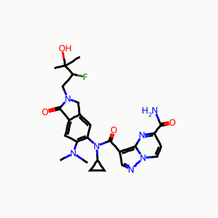 CN(C)c1cc2c(cc1N(C(=O)c1cnn3ccc(C(N)=O)nc13)C1CC1)CN(CC(F)C(C)(C)O)C2=O